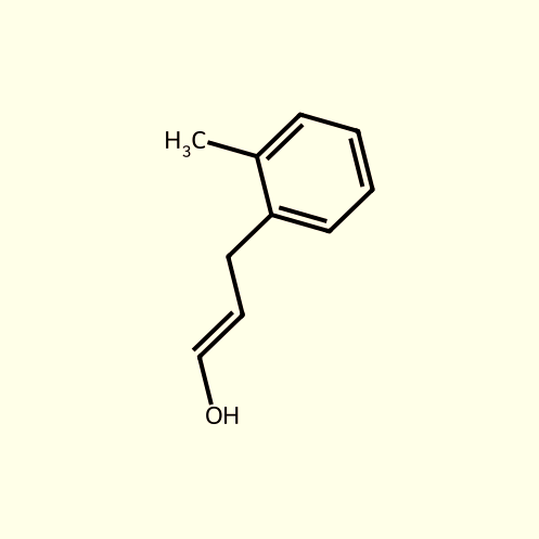 Cc1ccccc1C/C=C/O